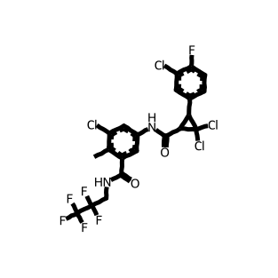 Cc1c(Cl)cc(NC(=O)C2C(c3ccc(F)c(Cl)c3)C2(Cl)Cl)cc1C(=O)NCC(F)(F)C(F)(F)F